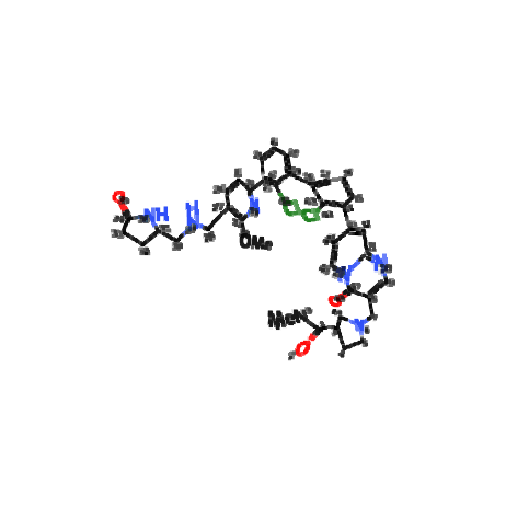 CNC(=O)C1CCN(Cc2cnc3cc(-c4cccc(-c5cccc(-c6ccc(CNCC7CCC(=O)N7)c(OC)n6)c5Cl)c4Cl)ccn3c2=O)C1